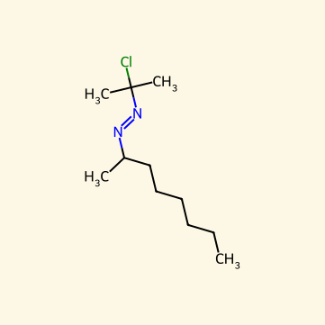 CCCCCCC(C)/N=N/C(C)(C)Cl